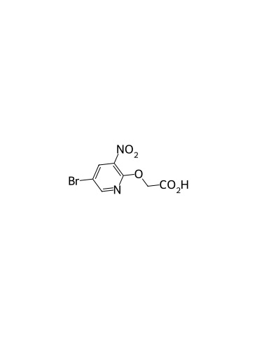 O=C(O)COc1ncc(Br)cc1[N+](=O)[O-]